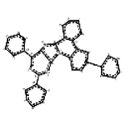 c1ccc(-c2ccc3c(c2)c2ccccc2c2nc4c(-c5ccccc5)nc(-c5ccccc5)nc4n32)cc1